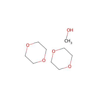 C1COCCO1.C1COCCO1.CO